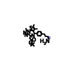 Cc1sc2c(c1C)C(c1ccc(CC/C=C\N)cc1)=NC(CC(=O)OC(C)(C)C)c1nnc(C)n1-2